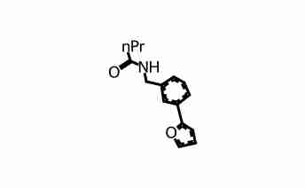 CCCC(=O)NCc1cccc(-c2ccco2)c1